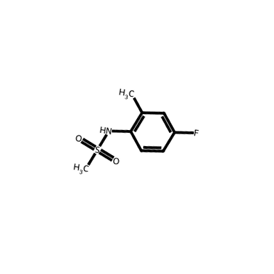 Cc1cc(F)ccc1NS(C)(=O)=O